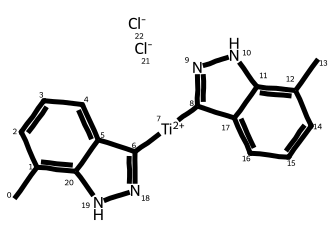 Cc1cccc2[c]([Ti+2][c]3n[nH]c4c(C)cccc34)n[nH]c12.[Cl-].[Cl-]